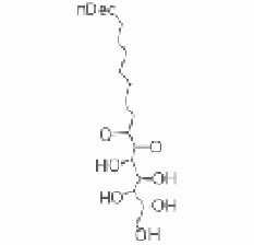 CCCCCCCCCCCCCCCCCC(=O)C(=O)[C@H](O)[C@@H](O)[C@H](O)[C@H](O)CO